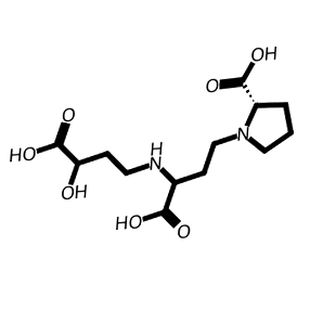 O=C(O)C(O)CCNC(CCN1CCC[C@H]1C(=O)O)C(=O)O